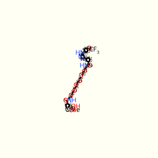 COc1ccc(C(=O)NCCOCCOCCOCCOCCOCCOCCNC(=O)c2cccc(-c3cc(Nc4ccc(OC(F)(F)F)cc4)ncn3)c2)cc1B(O)O